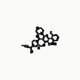 CC#CC(=O)N1CCN2C(=O)c3c(N4CCOCC4)nc(-c4c(O)cccc4F)c(Cl)c3OC[C@H]2C1